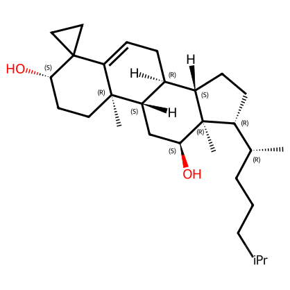 CC(C)CCC[C@@H](C)[C@H]1CC[C@H]2[C@@H]3CC=C4C5(CC5)[C@@H](O)CC[C@]4(C)[C@H]3C[C@H](O)[C@]12C